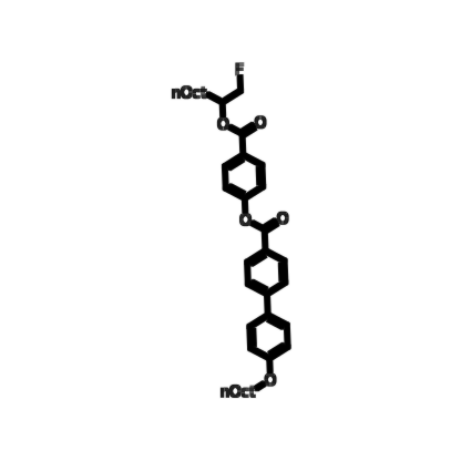 CCCCCCCCOc1ccc(-c2ccc(C(=O)Oc3ccc(C(=O)OC(CF)CCCCCCCC)cc3)cc2)cc1